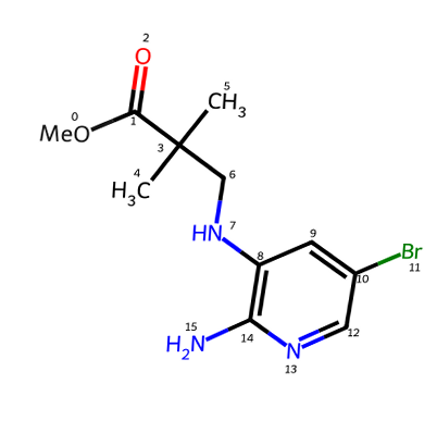 COC(=O)C(C)(C)CNc1cc(Br)cnc1N